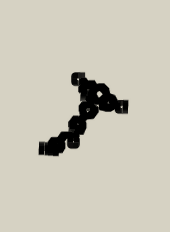 O=C(CC1CCNCC1)N1CCC(C2CCN(C3c4ccc(Cl)cc4CCc4cc(Cl)cnc43)CC2)CC1